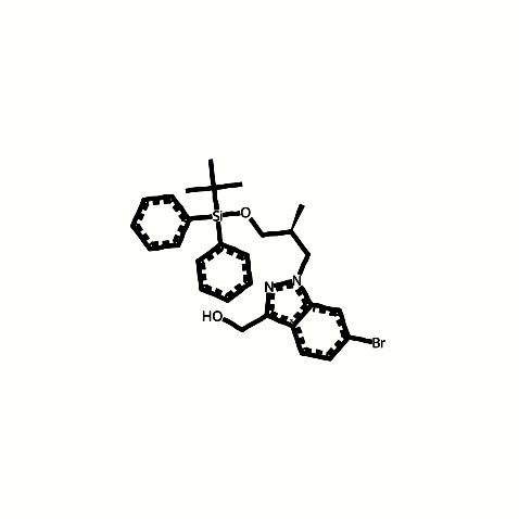 C[C@H](CO[Si](c1ccccc1)(c1ccccc1)C(C)(C)C)Cn1nc(CO)c2ccc(Br)cc21